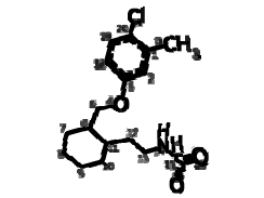 Cc1cc(OCC2CCCCC2CCN[SH](=O)=O)ccc1Cl